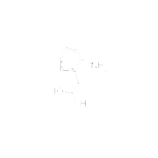 CC(O)Cc1ccccc1N